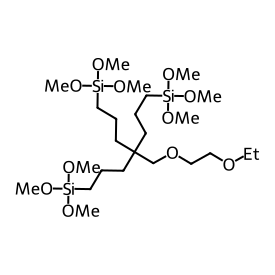 CCOCCOCC(CCC[Si](OC)(OC)OC)(CCC[Si](OC)(OC)OC)CCC[Si](OC)(OC)OC